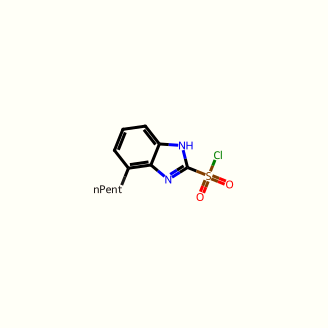 CCCCCc1cccc2[nH]c(S(=O)(=O)Cl)nc12